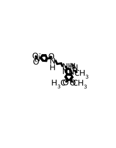 COc1cc2nc(NCCCCNC(=O)c3ccc([N+](=O)[O-])cc3)c3nnc(C)n3c2cc1OC